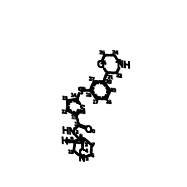 O=C(N[C@H]1CN2CCC1CC2)c1ccc(Sc2cccc(C3CNCCO3)c2)s1